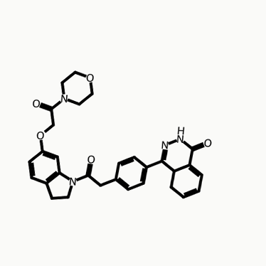 O=C1NN=C(c2ccc(CC(=O)N3CCc4ccc(OCC(=O)N5CCOCC5)cc43)cc2)C2CC=CC=C12